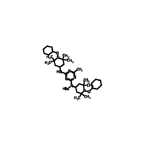 CCCCN(c1nc(C)nc(NC2CC(C)(C)N(OC3CCCCC3)C(C)(C)C2)n1)C1CC(C)(C)N(OC2CCCCC2)C(C)(C)C1